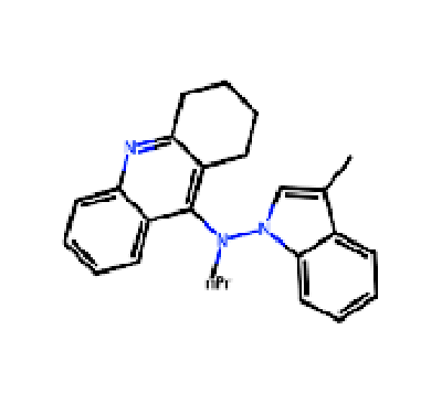 CCCN(c1c2c(nc3ccccc13)CCCC2)n1cc(C)c2ccccc21